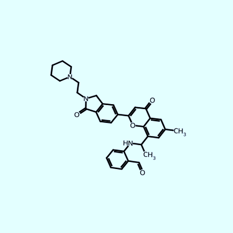 Cc1cc(C(C)Nc2ccccc2C=O)c2oc(-c3ccc4c(c3)CN(CCN3CCCCC3)C4=O)cc(=O)c2c1